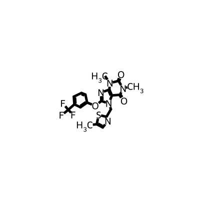 Cc1cnc(Cn2c(Oc3cccc(C(F)(F)F)c3)nc3c2c(=O)n(C)c(=O)n3C)s1